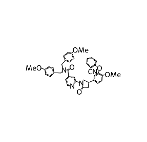 COc1ccc(CN(Cc2ccc(OC)cc2)C(=O)c2ccnc(N3CC(c4ccc(OC)c(Oc5ccccc5C#N)c4)CC3=O)c2)cc1